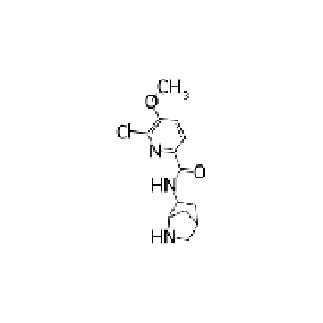 COc1ccc(C(=O)NC2CC3CNC2C3)nc1Cl